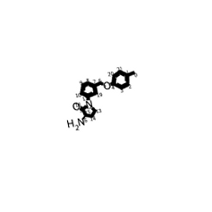 Cc1ccc(OCc2cccc(N3CC[C@@H](N)C3=O)c2)cc1